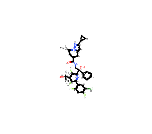 COc1cc(C(=O)NC[C@@](O)(c2ccccc2)c2nc(-c3cc(Cl)c(F)cc3F)c(F)c(C(C)(C)O)c2F)cc2cc(C3CC3)nn12